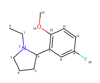 CCN1CCCC1c1cc(F)ccc1OC